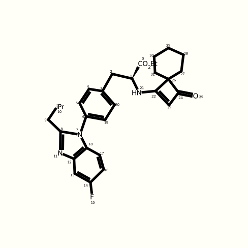 CCOC(=O)[C@H](Cc1ccc(-n2c(CC(C)C)nc3cc(F)ccc32)cc1)NC1=CC(=O)C12CCCCC2